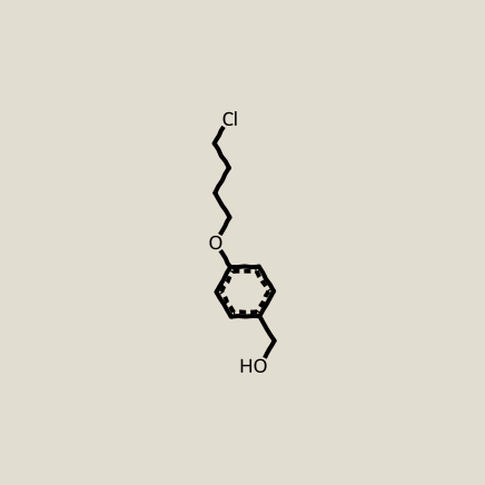 OCc1ccc(OCCCCCl)cc1